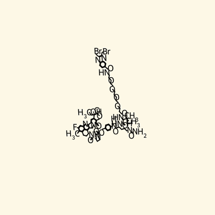 CC[C@]1(O)C(=O)OCc2c1cc1n(c2=O)Cc2c-1nc1cc(F)c(C)c3c1c2[C@H](NC(=O)[C@H]1CCN1C(=O)OCc1ccc(NC(=O)C(CCCNC(N)=O)NC(=O)[C@@H](NC(=O)CCOCCOCCOCCOCCNC(=O)c2ccc4nc(CBr)c(CBr)nc4c2)C(C)C)cc1)CC3